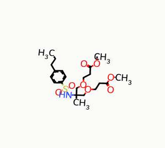 CCCc1ccc(S(=O)(=O)NC(C)(COCCC(=O)OC)COCCC(=O)OC)cc1